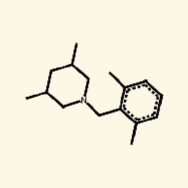 Cc1cccc(C)c1CN1CC(C)CC(C)C1